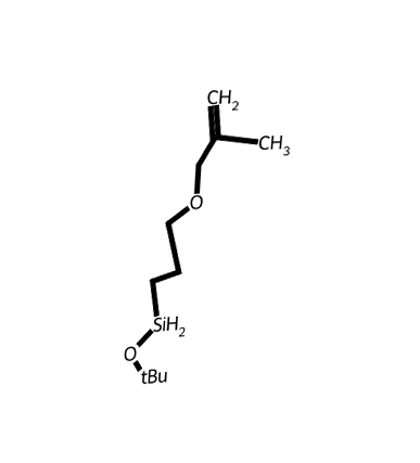 C=C(C)COCCC[SiH2]OC(C)(C)C